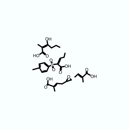 C/C(=C\CC1CO1)C(=O)O.C/C=C(\C)C(=O)O.CC/C=C(\C(=O)O)S(=O)(=O)c1ccc(C)cc1.CCC/C(O)=C(/C)C(=O)O